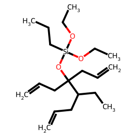 C=CCC(CC)C(CC=C)(CC=C)O[Si](CCC)(OCC)OCC